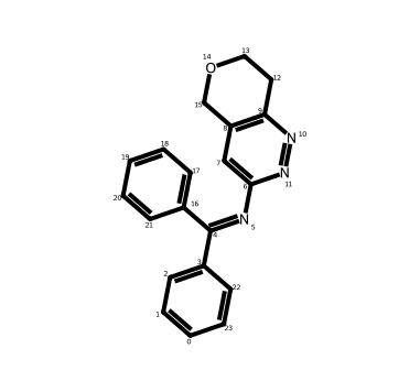 c1ccc(C(=Nc2cc3c(nn2)CCOC3)c2ccccc2)cc1